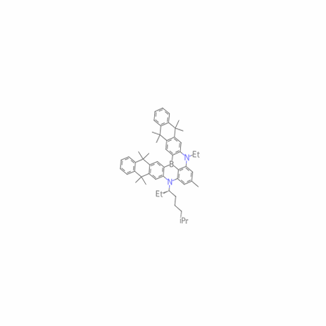 CC[C@H](CCCC(C)C)N1c2cc3c(cc2B2c4cc5c(cc4N(CC)c4cc(C)cc1c42)C(C)(C)c1ccccc1C5(C)C)C(C)(C)c1ccccc1C3(C)C